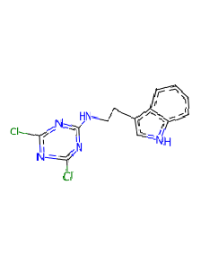 Clc1nc(Cl)nc(NCCc2c[nH]c3ccccc23)n1